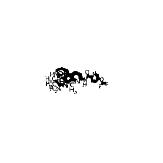 CC1(C)C(N)=N[C@](C)(c2nc(NC(=O)c3ccc(OC(F)F)cn3)ccc2F)[C@H]2CCCCNS21O